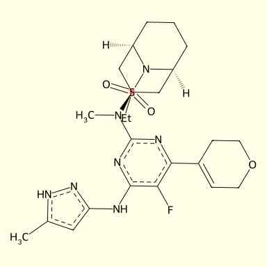 CCS(=O)(=O)N1[C@@H]2CCC[C@H]1C[C@@H](N(C)c1nc(Nc3cc(C)[nH]n3)c(F)c(C3=CCOCC3)n1)C2